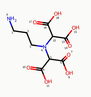 NCCCN(C(C(=O)O)C(=O)O)C(C(=O)O)C(=O)O